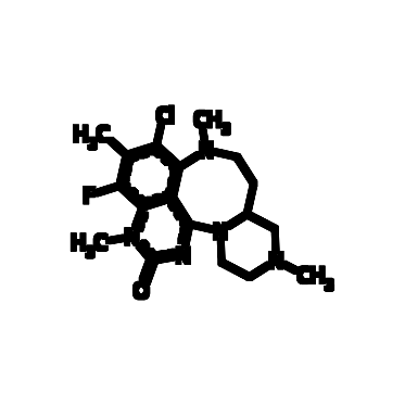 Cc1c(Cl)c2c3c(nc(=O)n(C)c3c1F)N1CCN(C)CC1CCN2C